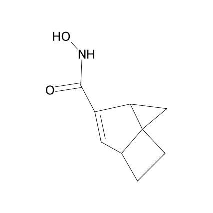 O=C(NO)C1=CC2CCC23CC13